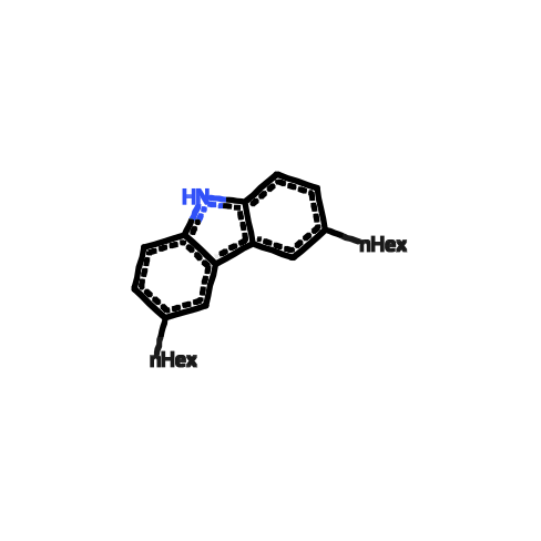 CCCCCCc1ccc2[nH]c3ccc(CCCCCC)cc3c2c1